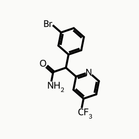 NC(=O)C(c1cccc(Br)c1)c1cc(C(F)(F)F)ccn1